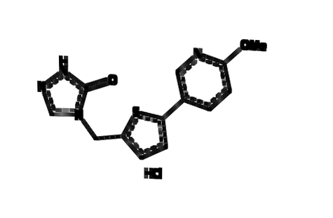 COc1ccc(-c2ccc(Cn3cn[nH]c3=O)s2)cn1.Cl